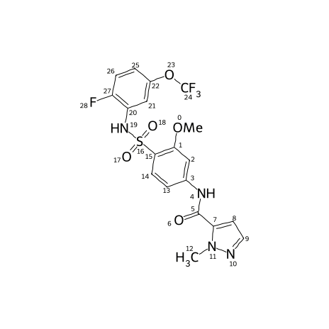 COc1cc(NC(=O)c2ccnn2C)ccc1S(=O)(=O)Nc1cc(OC(F)(F)F)ccc1F